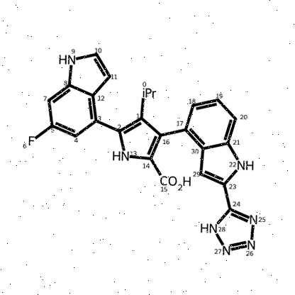 CC(C)c1c(-c2cc(F)cc3[nH]ccc23)[nH]c(C(=O)O)c1-c1cccc2[nH]c(-c3nnn[nH]3)cc12